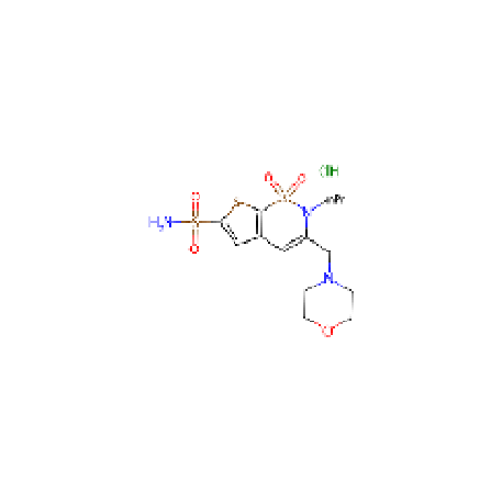 CCCN1C(CN2CCOCC2)=Cc2cc(S(N)(=O)=O)sc2S1(=O)=O.Cl